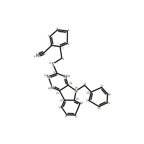 N#Cc1ccccc1CSc1nnc2c3ccccc3n(Cc3ccccc3)c2n1